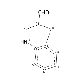 O=[C]C1CNc2ccccc2C1